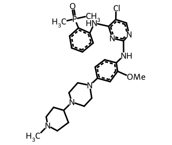 COc1cc(N2CCN(C3CCN(C)CC3)CC2)ccc1Nc1ncc(Cl)c(Nc2ccccc2P(C)(C)=O)n1